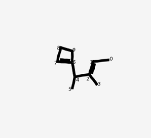 CC=C(C)C(C)C1=CCC1